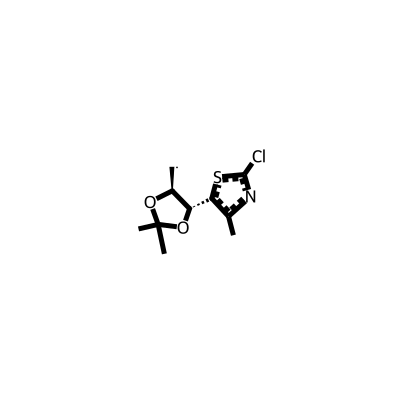 [CH2][C@@H]1OC(C)(C)O[C@H]1c1sc(Cl)nc1C